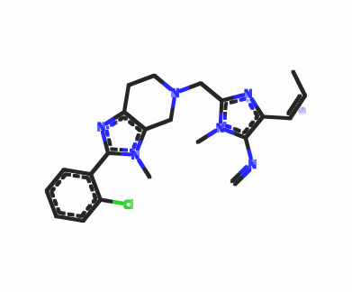 C=Nc1c(/C=C\C)nc(CN2CCc3nc(-c4ccccc4Cl)n(C)c3C2)n1C